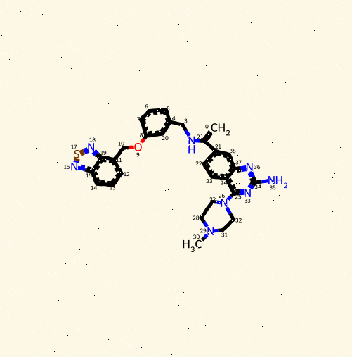 C=C(NCc1cccc(OCc2cccc3nsnc23)c1)c1ccc2c(N3CCN(C)CC3)nc(N)nc2c1